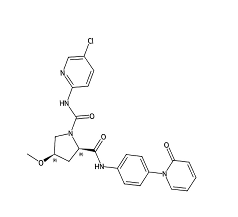 CO[C@@H]1C[C@H](C(=O)Nc2ccc(-n3ccccc3=O)cc2)N(C(=O)Nc2ccc(Cl)cn2)C1